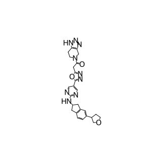 O=C(Cc1nnc(-c2cnc(NC3Cc4ccc(C5CCOC5)cc4C3)nc2)o1)N1CCc2[nH]nnc2C1